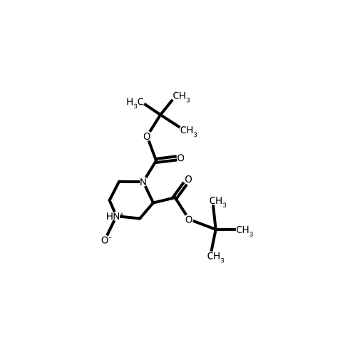 CC(C)(C)OC(=O)C1C[NH+]([O-])CCN1C(=O)OC(C)(C)C